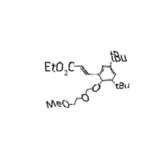 CCOC(=O)C=Cc1cc(C(C)(C)C)cc(C(C)(C)C)c1OCOCCOC